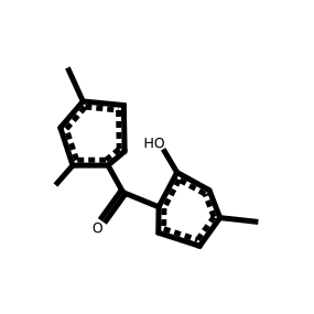 Cc1ccc(C(=O)c2ccc(C)cc2O)c(C)c1